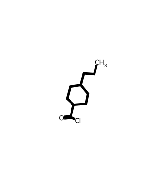 CCCC1CCC(C(=O)Cl)CC1